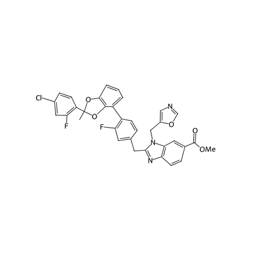 COC(=O)c1ccc2nc(Cc3ccc(-c4cccc5c4OC(C)(c4ccc(Cl)cc4F)O5)c(F)c3)n(Cc3cnco3)c2c1